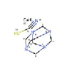 C1N2CN3CN1CN(C2)C3.N#CS.[CaH2]